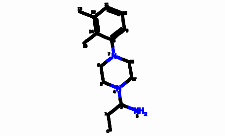 CCC(N)N1CCN(c2cccc(C)c2C)CC1